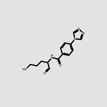 O=CC(CCCO)NC(=O)c1ccc(-n2cnnc2)cc1